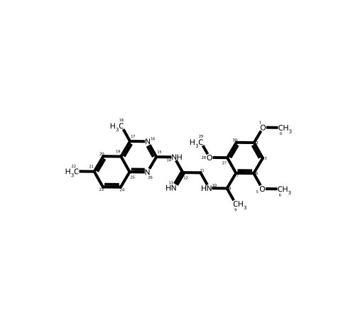 COc1cc(OC)c(C(C)NCC(=N)Nc2nc(C)c3cc(C)ccc3n2)c(OC)c1